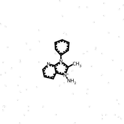 Cc1n(-c2ccccc2)c2ncccc2[n+]1N